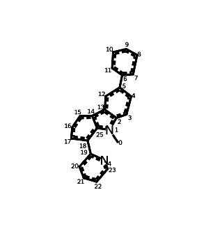 Cn1c2ccc(-c3ccccc3)cc2c2cccc(-c3ccccn3)c21